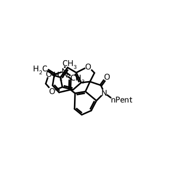 C=C(/C=C\C(=C/N)c1cccc2c1C1(COc3cc4c(cc31)OCO4)C(=O)N2CCCCC)N(C)C